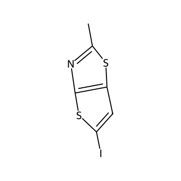 Cc1nc2sc(I)cc2s1